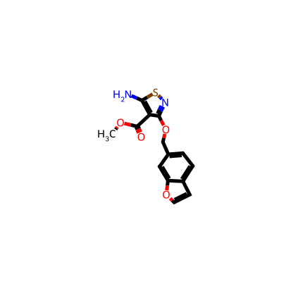 COC(=O)c1c(OCc2ccc3ccoc3c2)nsc1N